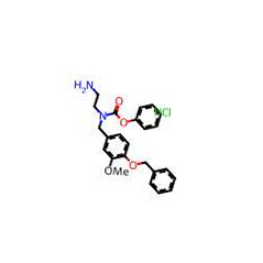 COc1cc(CN(CCN)C(=O)Oc2ccccc2)ccc1OCc1ccccc1.Cl